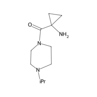 CC(C)N1CCN(C(=O)C2(N)CC2)CC1